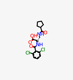 O=C(N[C@@H](CNC(=O)C1CCCC1)C(=O)O)c1c(Cl)cccc1Cl